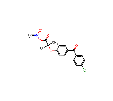 C=[N+]([O-])OC(=O)C(C)(C)Oc1ccc(C(=O)c2ccc(Cl)cc2)cc1